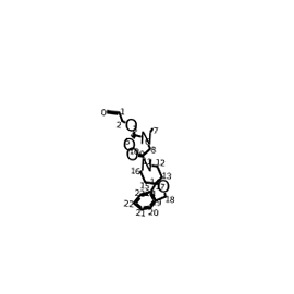 C=CCOC(=O)N(C)CC(=O)N1CCC2(CC1)OCc1ccccc12